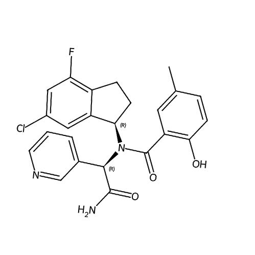 Cc1ccc(O)c(C(=O)N([C@@H]2CCc3c(F)cc(Cl)cc32)[C@@H](C(N)=O)c2cccnc2)c1